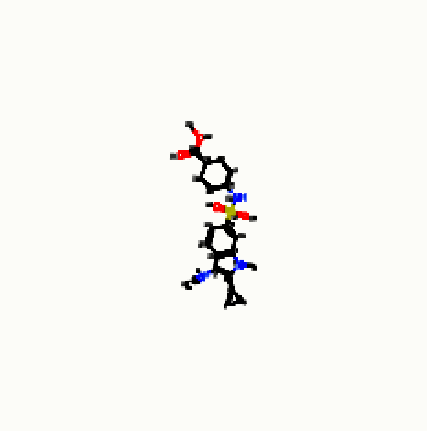 [C-]#[N+]c1c(C2CC2)n(C)c2cc(S(=O)(=O)N[C@H]3CC[C@H](C(=O)OC)CC3)ccc12